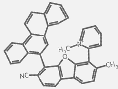 Cc1ccc2c(oc3c(-c4cc5c6ccccc6ccc5c5ccccc45)c(C#N)ccc32)c1-c1cccc[n+]1C